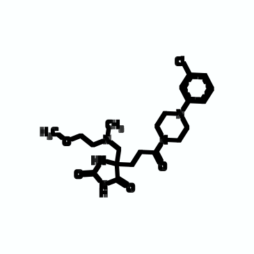 COCCN(C)CC1(CCC(=O)N2CCN(c3cccc(Cl)c3)CC2)NC(=O)NC1=O